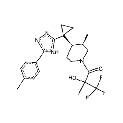 Cc1ccc(-c2nnc(C3([C@@H]4CCN(C(=O)C(C)(O)C(F)(F)F)C[C@@H]4C)CC3)[nH]2)cc1